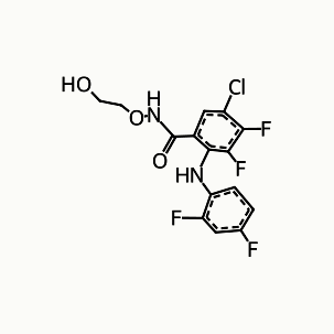 O=C(NOCCO)c1cc(Cl)c(F)c(F)c1Nc1ccc(F)cc1F